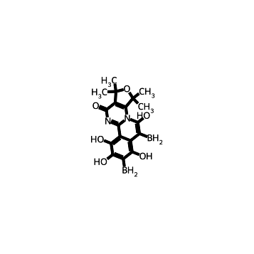 Bc1c(O)c(O)c2c(c(B)c(O)n3c4c(c(=O)nc23)C(C)(C)OC4(C)C)c1O